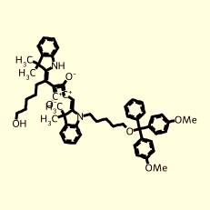 COc1ccc(C(OCCCCCN2C(=C[c+]3c([O-])c(C(CCCCCO)=C4Nc5ccccc5C4(C)C)[c+]3[O-])C(C)(C)c3ccccc32)(c2ccccc2)c2ccc(OC)cc2)cc1